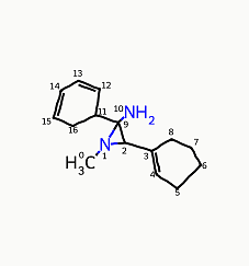 CN1C(C2=CCCCC2)C1(N)C1C=CC=CC1